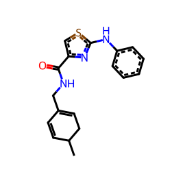 CC1C=CC(CNC(=O)c2csc(Nc3ccccc3)n2)=CC1